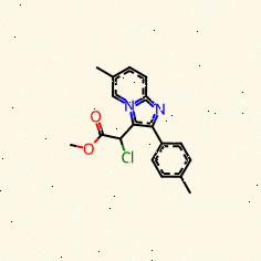 COC(=O)C(Cl)c1c(-c2ccc(C)cc2)nc2ccc(C)cn12